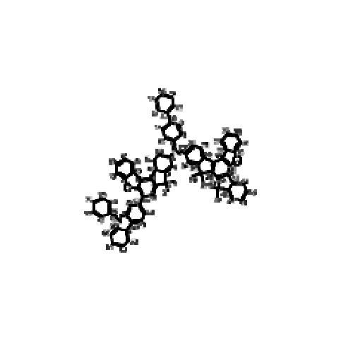 CC1(C)c2cc(N(c3ccc(-c4ccccc4)cc3)c3ccc4c(c3)C(C)(C)c3c5c(c6oc7ccccc7c6c3-4)-c3ccccc3C5(C)C)ccc2-c2c1cc(-c1ccc3c4ccccc4n(-c4ccccc4)c3c1)c1oc3ccccc3c21